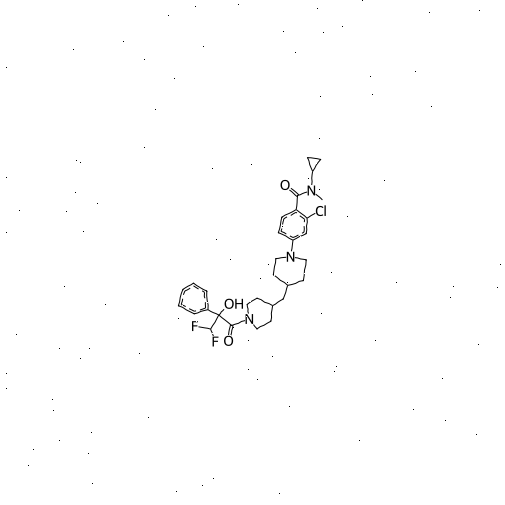 CN(C(=O)c1ccc(N2CCC(CC3CCN(C(=O)C(O)(c4ccccc4)C(F)F)CC3)CC2)cc1Cl)C1CC1